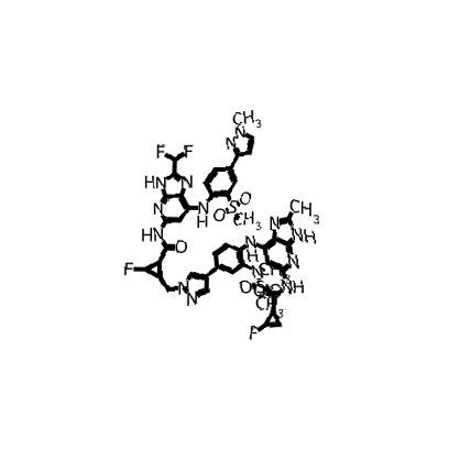 Cc1nc2c(Nc3ccc(-c4cnn(CC5C(F)C5C(=O)Nc5cc(Nc6ccc(-c7ccn(C)n7)cc6S(C)(=O)=O)c6nc(C(F)F)[nH]c6n5)c4)cc3N(C)S(C)(=O)=O)cc(NC(=O)C3CC3F)nc2[nH]1